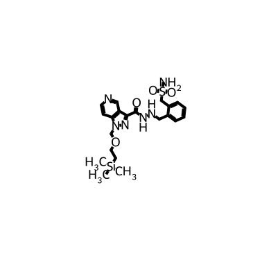 C[Si](C)(C)CCOCn1nc(C(=O)NNCc2ccccc2CS(N)(=O)=O)c2cnccc21